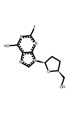 OC[C@@H]1CC[C@H](n2cnc3c(O)nc(F)nc32)O1